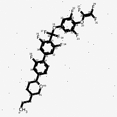 CCCC1CCC(c2ccc(-c3cc(F)c(C(F)(F)Oc4cc(F)c(OC(F)=C(F)F)c(F)c4)c(F)c3)c(F)c2)OC1